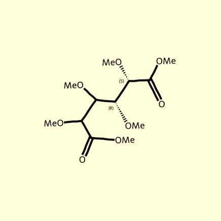 COC(=O)C(OC)C(OC)[C@@H](OC)[C@H](OC)C(=O)OC